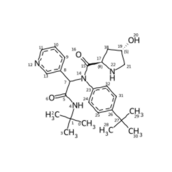 CC(C)(C)NC(=O)C(c1cccnc1)N(C(=O)[C@H]1C[C@H](O)CN1)c1ccc(C(C)(C)C)cc1